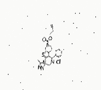 C#CCCOC(=O)N1CCc2c(sc3c2C(c2ccccc2Cl)=NCc2nnc(C)n2-3)C1